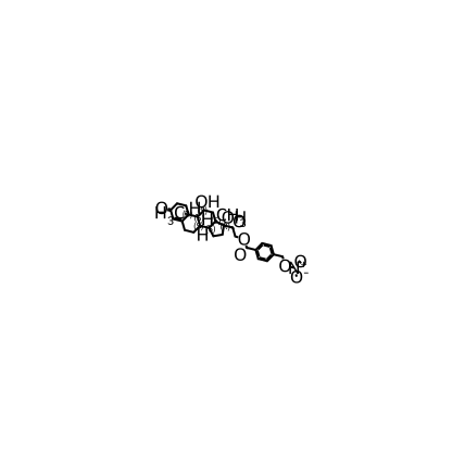 C[C@]12CCC(=O)C=C1CC[C@@H]1[C@@H]2[C@@H](O)C[C@@]2(C)[C@H]1CC[C@]2(O)C(=O)COC(=O)c1ccc(CO[N+](=O)[O-])cc1